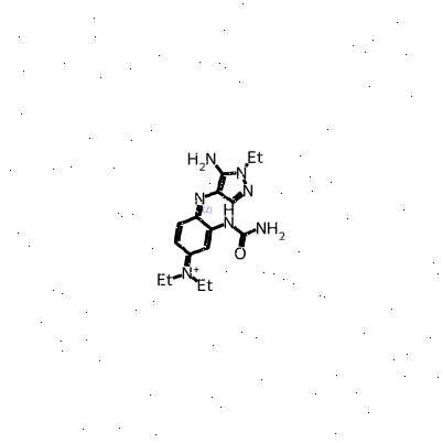 CCn1ncc(/N=C2/C=CC(=[N+](CC)CC)C=C2NC(N)=O)c1N